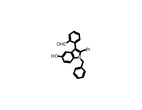 CC(C)c1c(-c2ccccc2C=O)c2cc(O)ccc2n1Cc1ccccc1